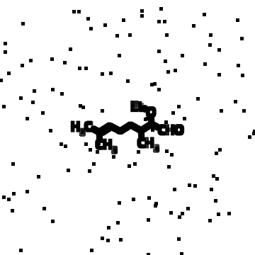 CCOC(C=O)C(C)CCC=C(C)C